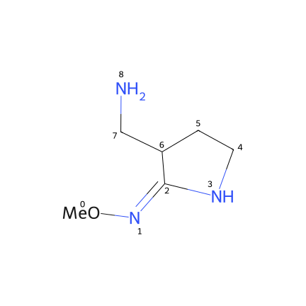 CON=C1NCCC1CN